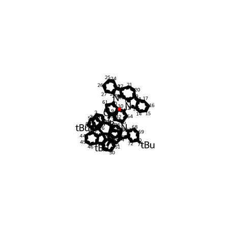 CC(C)(C)c1ccc2c(c1)B1c3c(cc(-n4c5ccccc5c5ccc6c7ccccc7n(-c7ccc(N8c9ccccc9C9(c%10ccccc%10-c%10ccccc%109)c9ccccc98)cc7)c6c54)cc3-n3c4ccc(C(C)(C)C)cc4c4cc(C(C)(C)C)cc1c43)O2